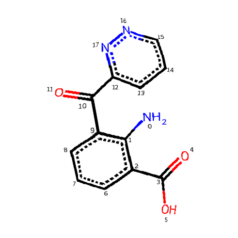 Nc1c(C(=O)O)cccc1C(=O)c1cccnn1